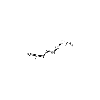 C.O=C=NSN=C=O